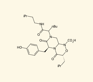 CCCCC(C(=O)NCCC(C)C)N1CC2N(C(=O)O)O[C@H](CC(C)C)C(=O)N2[C@@H](Cc2ccc(O)cc2)C1=O